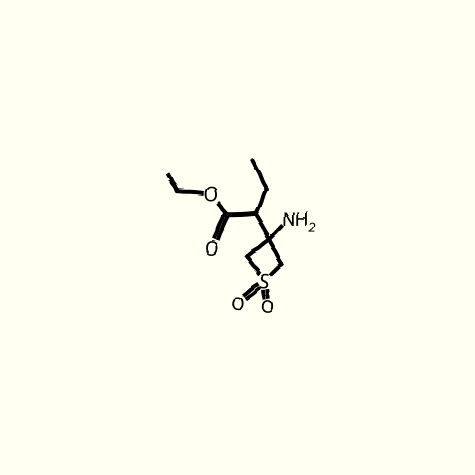 CCOC(=O)C(CC)C1(N)CS(=O)(=O)C1